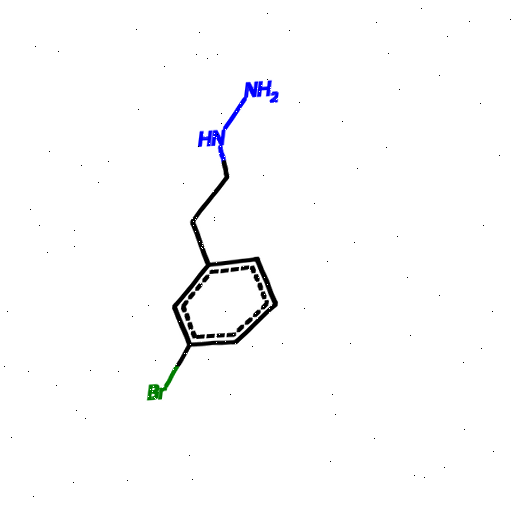 NNCCc1cccc(Br)c1